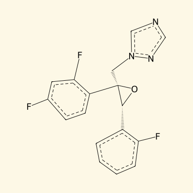 Fc1ccc([C@@]2(Cn3cncn3)O[C@@H]2c2ccccc2F)c(F)c1